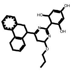 CCCOC1CC(C2Cc3ccccc3C3=C2C=CCC3)=NC(C2C(O)=CC(O)=CC2O)=N1